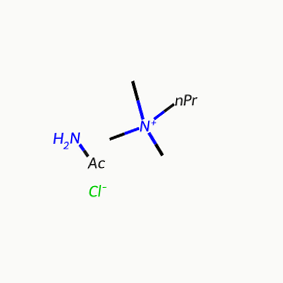 CC(N)=O.CCC[N+](C)(C)C.[Cl-]